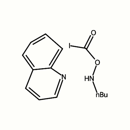 CCCCNOC(=O)I.c1ccc2ncccc2c1